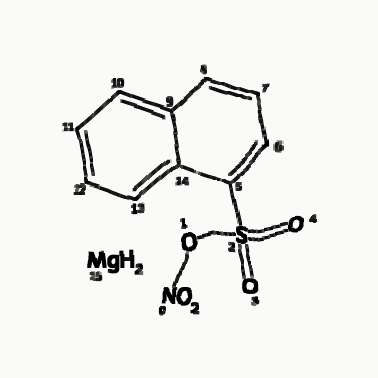 O=[N+]([O-])OS(=O)(=O)c1cccc2ccccc12.[MgH2]